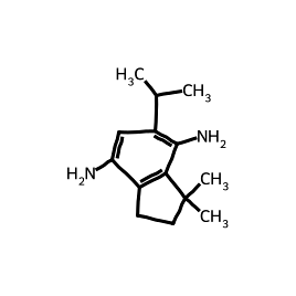 CC(C)c1cc(N)c2c(c1N)C(C)(C)CC2